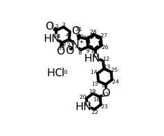 Cl.O=C1CCC([N+]2([O-])Cc3c(NCC4CCC(OC5CCNCC5)CC4)cccc3C2=O)C(=O)N1